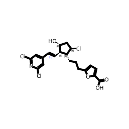 O=C(O)c1ccc(CCC[C@@H]2[C@@H](/C=C/c3cc(Cl)nc(Cl)c3)[C@H](O)C[C@H]2Cl)o1